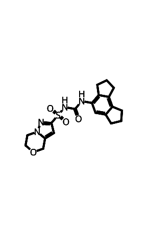 O=C(Nc1cc2c(c3c1CCC3)CCC2)NS(=O)(=O)c1cc2n(n1)CCOC2